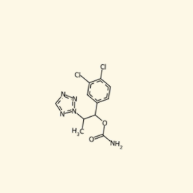 CC(C(OC(N)=O)c1ccc(Cl)c(Cl)c1)n1ncnn1